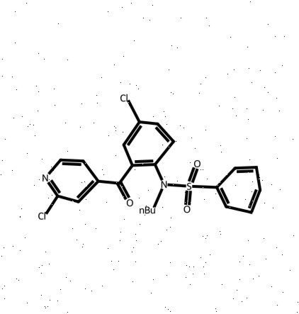 CCCCN(c1ccc(Cl)cc1C(=O)c1ccnc(Cl)c1)S(=O)(=O)c1ccccc1